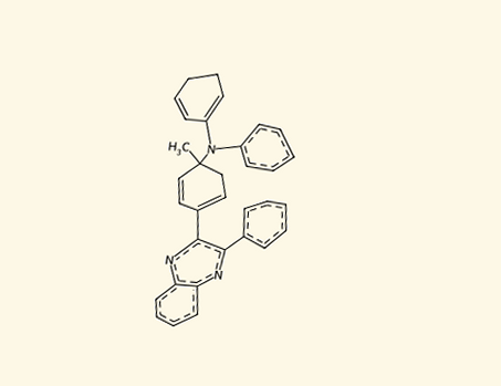 CC1(N(C2=CCCC=C2)c2ccccc2)C=CC(c2nc3ccccc3nc2-c2ccccc2)=CC1